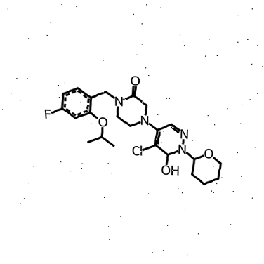 CC(C)Oc1cc(F)ccc1CN1CCN(C2=C(Cl)C(O)N(C3CCCCO3)N=C2)CC1=O